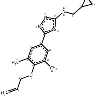 C=CCOc1c(C)cc(-c2nnc(NCC3CC3)s2)cc1C